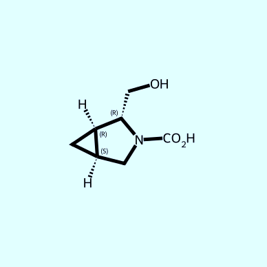 O=C(O)N1C[C@H]2C[C@H]2[C@@H]1CO